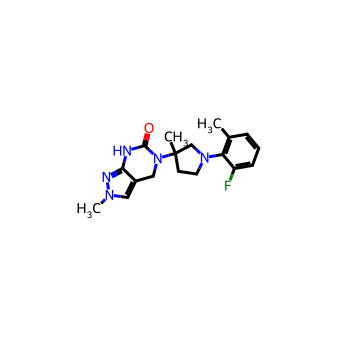 Cc1cccc(F)c1N1CCC(C)(N2Cc3cn(C)nc3NC2=O)C1